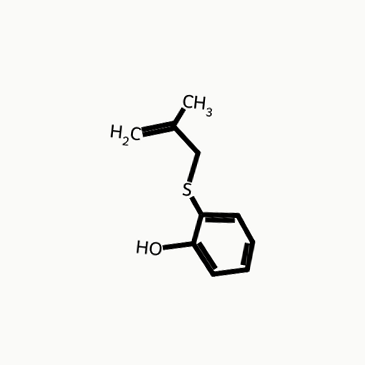 C=C(C)CSc1ccccc1O